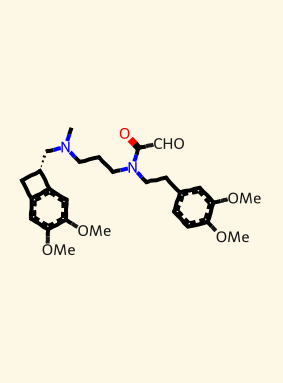 COc1ccc(CCN(CCCN(C)C[C@H]2Cc3cc(OC)c(OC)cc32)C(=O)C=O)cc1OC